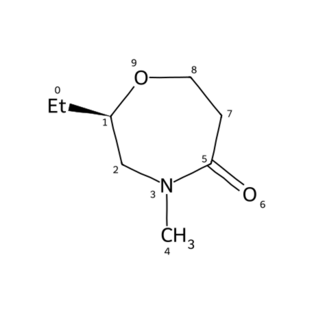 CC[C@@H]1CN(C)C(=O)CCO1